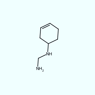 NCNC1CC=CCC1